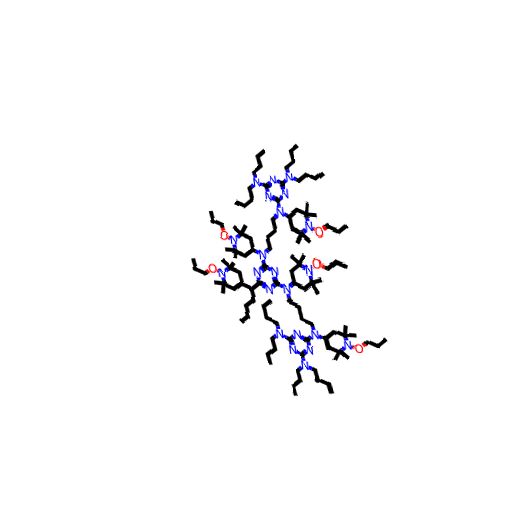 CCCCC(c1nc(N(CCCCN(c2nc(N(CCCC)CCCC)nc(N(CCCC)CCCC)n2)C2CC(C)(C)N(OCCC)C(C)(C)C2)C2CC(C)(C)N(OCCC)C(C)(C)C2)nc(N(CCCCN(c2nc(N(CCCC)CCCC)nc(N(CCCC)CCCC)n2)C2CC(C)(C)N(OCCC)C(C)(C)C2)C2CC(C)(C)N(OCCC)C(C)(C)C2)n1)C1CC(C)(C)N(OCCC)C(C)(C)C1